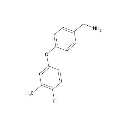 Cc1cc(Oc2ccc(CN)cc2)ccc1F